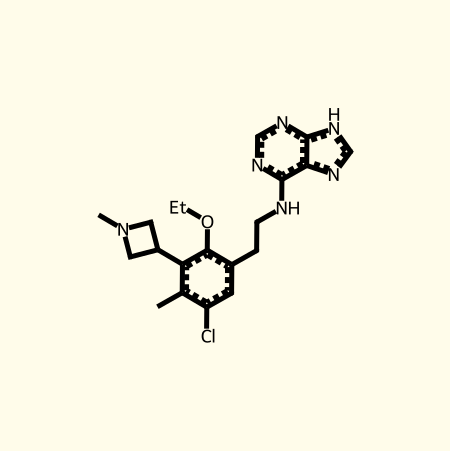 CCOc1c(CCNc2ncnc3[nH]cnc23)cc(Cl)c(C)c1C1CN(C)C1